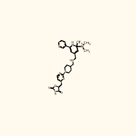 CN(C)C1(C(F)(F)F)C=C(CNCC2CCN(c3nccc(/C=C4\SC(=O)NC4=O)n3)CC2)C=C(c2cccnc2)N1